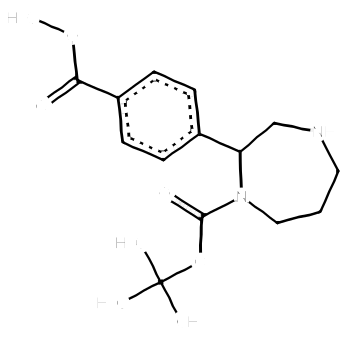 COC(=O)c1ccc(C2CNCCCN2C(=O)OC(C)(C)C)cc1